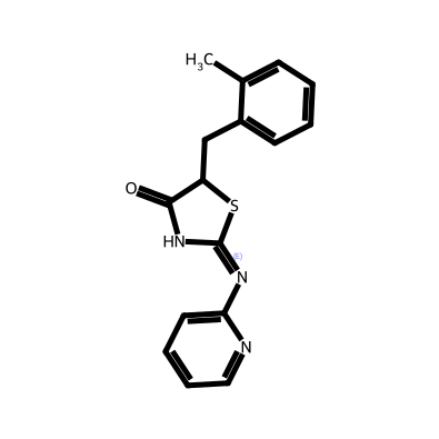 Cc1ccccc1CC1S/C(=N/c2ccccn2)NC1=O